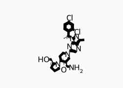 Cc1nn([C@H](C)c2ccc(Cl)cc2Cl)c2nc(N3CC[C@H](N4CCC[C@H]4CO)[C@H](C(N)=O)C3)cnc12